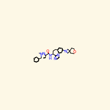 C=C/C(=N\N(C)Cc1ccccc1)C(=O)NC1CCc2ccc(N3CC4(CCOCC4)C3)cc2-n2ccnc21